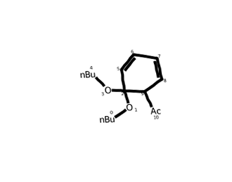 CCCCOC1(OCCCC)C=CC=CC1C(C)=O